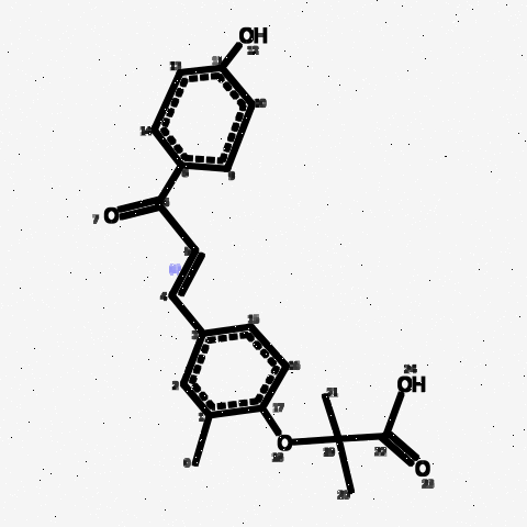 Cc1cc(/C=C/C(=O)c2ccc(O)cc2)ccc1OC(C)(C)C(=O)O